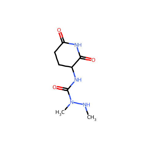 CNN(C)C(=O)NC1CCC(=O)NC1=O